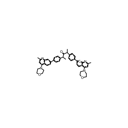 Cc1cc(N2CCOCC2)c2ccc(-c3ccc(C(C)C(=O)C(C)c4ccc(-c5ccc6c(N7CCOCC7)cc(C)nc6c5)cc4)cc3)cc2n1